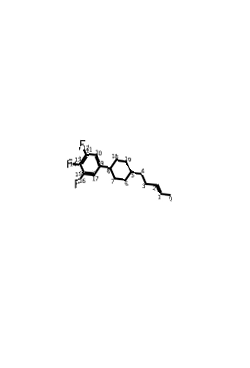 C/C=C/CCC1CCC(c2cc(F)c(F)c(F)c2)CC1